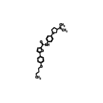 CCCCOc1ccc(-c2ccc(C(=O)Nc3ccc(N4CCC(N(C)C)C4)cc3)o2)cc1